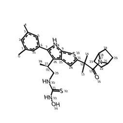 Cc1cc(C)cc(-c2[nH]c3sc(C(C)(C)C(=O)N4C5CCC4CC5)cc3c2[C@H](C)CNC(=S)NO)c1